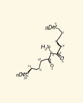 CCCCCCCCCCCCCC(=O)P(N)C(=O)CCCCCCCCCCCCC